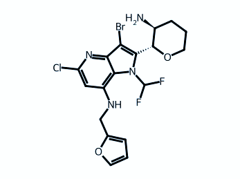 N[C@H]1CCCO[C@@H]1c1c(Br)c2nc(Cl)cc(NCc3ccco3)c2n1C(F)F